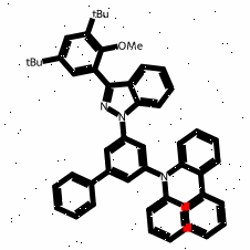 COc1c(-c2nn(-c3cc(-c4ccccc4)cc(N(c4ccccn4)c4ccccc4-c4ccccc4)c3)c3ccccc23)cc(C(C)(C)C)cc1C(C)(C)C